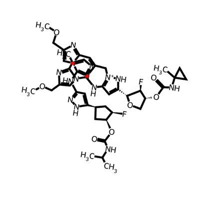 COCc1cn2c(Nc3cc([C@H]4C[C@@H](F)[C@@H](OC(=O)NC(C)C)C4)[nH]n3)nc(C[n+]3[nH]c([C@H]4OC[C@@H](OC(=O)NC5(C)CC5)[C@@H]4F)cc3Nc3ncc(C)c4nc(COC)cn34)cc2n1